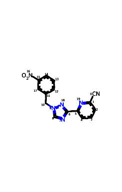 N#Cc1cccc(-c2ncn(Cc3cccc([N+](=O)[O-])c3)n2)n1